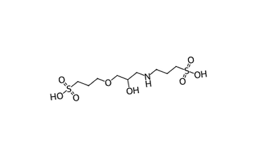 O=S(=O)(O)CCCNCC(O)COCCCS(=O)(=O)O